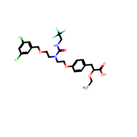 CCOC(Cc1ccc(OCCN(CCOCc2cc(Cl)cc(Cl)c2)C(=O)NCC(F)(F)F)cc1)C(=O)O